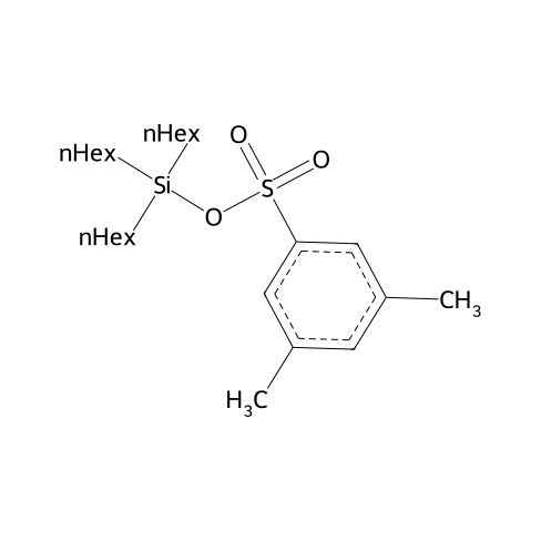 CCCCCC[Si](CCCCCC)(CCCCCC)OS(=O)(=O)c1cc(C)cc(C)c1